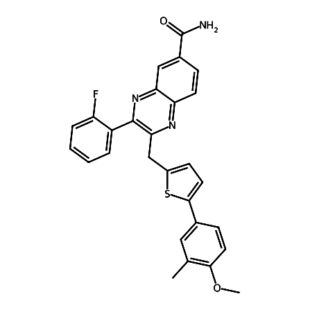 COc1ccc(-c2ccc(Cc3nc4ccc(C(N)=O)cc4nc3-c3ccccc3F)s2)cc1C